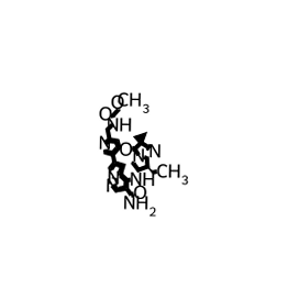 CC[C@@H]1CN(C(=O)C2(C#N)CC2)C[C@H]1Nc1c(C(N)=O)cnn2cc(-c3ccc(CNC(=O)COC)nc3)cc12